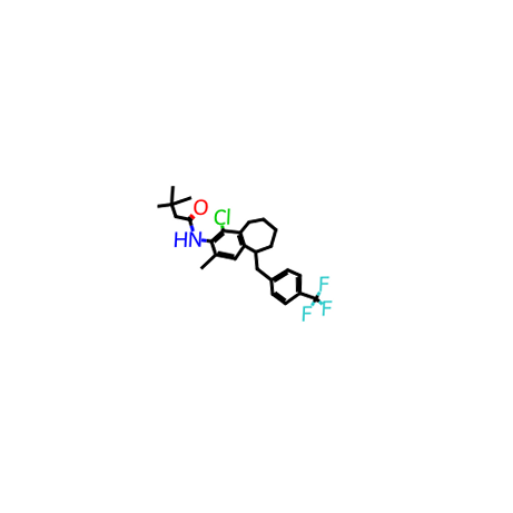 Cc1cc2c(c(Cl)c1NC(=O)CC(C)(C)C)CCCCC2Cc1ccc(C(F)(F)F)cc1